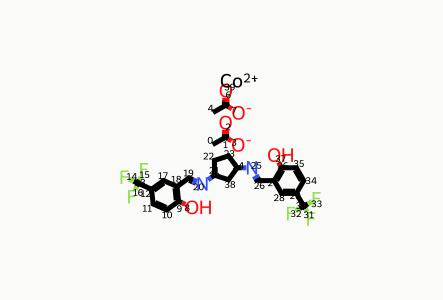 CC(=O)[O-].CC(=O)[O-].Oc1ccc(C(F)(F)F)cc1C=NC1CCC(N=Cc2cc(C(F)(F)F)ccc2O)C1.[Co+2]